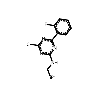 CC(C)CNc1nc(Cl)nc(-c2ccccc2F)n1